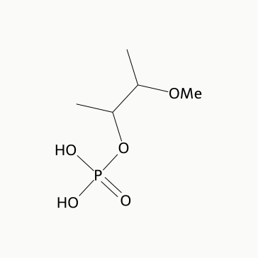 COC(C)C(C)OP(=O)(O)O